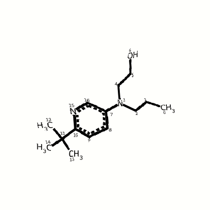 CCCN(CCO)c1ccc(C(C)(C)C)nc1